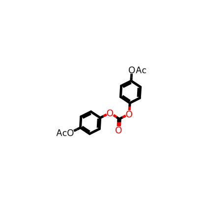 CC(=O)Oc1ccc(OC(=O)Oc2ccc(OC(C)=O)cc2)cc1